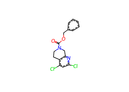 O=C(OCc1ccccc1)N1CCc2c(Cl)cc(Cl)nc2C1